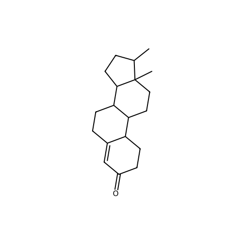 CC1CCC2C3CCC4=CC(=O)CCC4C3CCC12C